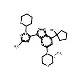 Cc1cc(-c2nsc3c(C4(O)CCCC4)cc(N4CCOC[C@H]4C)nc23)n(C2CCCCO2)n1